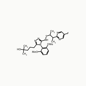 COc1cccc(OC)c1-n1c(CCCC(C)(C)O)nnc1NSC(C)C(C)c1ncc(F)cn1